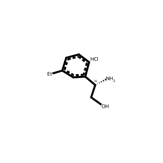 CCc1cccc([C@H](N)CO)c1.Cl